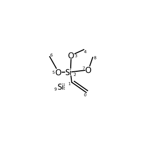 C=C[Si](OC)(OC)OC.[Si]